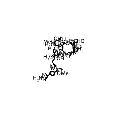 CC[C@H]1OC(=O)[C@H](C)[C@@H](O[C@H]2C[C@@](C)(OC)[C@@H](O)[C@H](C)O2)[C@H](C)[C@@H](O[C@@H]2O[C@H](C)C[C@H](N(C)CCc3cn([C@H](CF)[C@H](OC)c4ccc(-c5cnc(N)nc5)cc4)nn3)[C@H]2O)[C@@]2(C)C[C@@H](CO2)C2=NCCN[C@H]([C@H]2C)[C@]1(C)OC=O